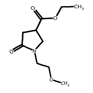 CCOC(=O)C1CC(=O)N(CCOC)C1